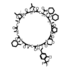 CC[C@H](C)[C@@H]1NC(=O)[C@H](CC(C)C)N(C)C(=O)C[C@@H](C(=O)N2CCCCC2)N(C)C(=O)[C@H](C2CCCCC2)N(C)C(=O)C2(CCCC2)NC(=O)[C@H]2COCCN2C(=O)[C@H](CCc2ccc(C(F)(F)F)c(Cl)c2)NC(=O)CN(C)C(=O)[C@H](CC2CCCCC2)N(C)C(=O)CN(C)C(=O)CN(C)C1=O